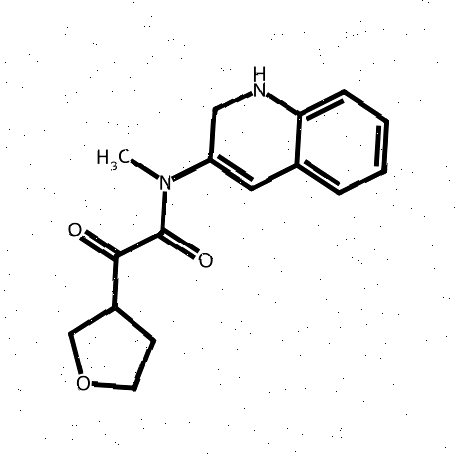 CN(C(=O)C(=O)C1CCOC1)C1=Cc2ccccc2NC1